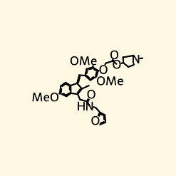 COc1ccc2c(c1)C(CC(=O)NCc1ccco1)=C(C)C2=Cc1cc(OC)c(OCC(=O)OC2CCN(C)CC2)c(OC)c1